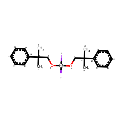 CC(C)(C[O][Hf]([I])([I])[O]CC(C)(C)c1ccccc1)c1ccccc1